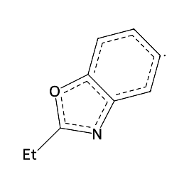 CCc1nc2c[c]ccc2o1